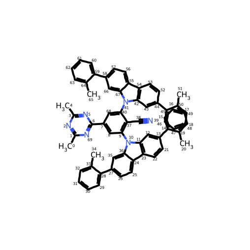 Cc1nc(C)nc(-c2cc(-n3c4cc(-c5ccccc5C)ccc4c4ccc(-c5ccccc5C)cc43)c(C#N)c(-n3c4cc(-c5ccccc5C)ccc4c4ccc(-c5ccccc5C)cc43)c2)n1